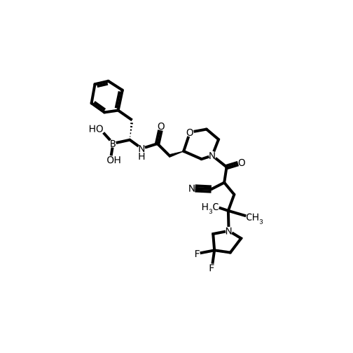 CC(C)(CC(C#N)C(=O)N1CCO[C@H](CC(=O)N[C@@H](Cc2ccccc2)B(O)O)C1)N1CCC(F)(F)C1